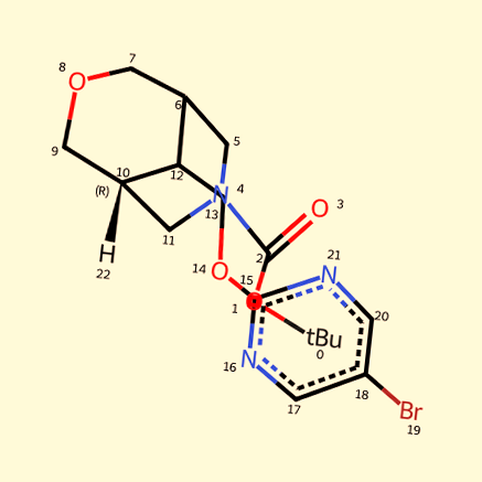 CC(C)(C)OC(=O)N1CC2COC[C@@H](C1)C2COc1ncc(Br)cn1